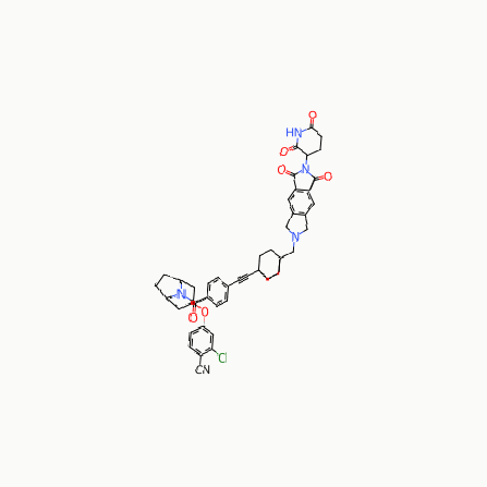 N#Cc1ccc(OC2CC3CCC(C2)N3C(=O)c2ccc(C#CC34CCC(CN5Cc6cc7c(cc6C5)C(=O)N(C5CCC(=O)NC5=O)C7=O)(CC3)CC4)cc2)cc1Cl